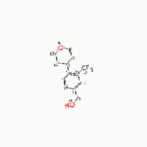 OCc1ccc(C2CCOCC2)c(C(F)(F)F)c1